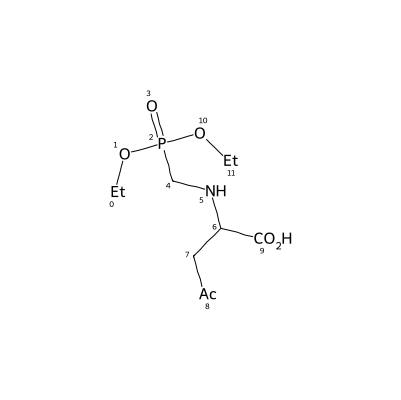 CCOP(=O)(CNC(CC(C)=O)C(=O)O)OCC